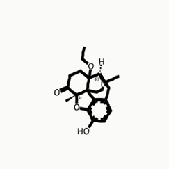 CCOC12CCC(=O)[C@@]3(C)Oc4c(O)ccc5c4C13CCN(C)[C@@H]2C5